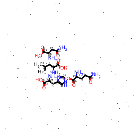 CC(C)C[C@H](N)C(=O)O.NC(=O)CC[C@H](N)C(=O)O.NC(=O)C[C@H](N)C(=O)O.N[C@@H](Cc1c[nH]cn1)C(=O)O